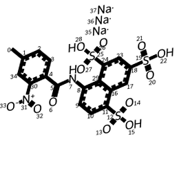 Cc1ccc(C(=O)Nc2ccc(S(=O)(=O)O)c3cc(S(=O)(=O)O)cc(S(=O)(=O)O)c23)c([N+](=O)[O-])c1.[Na].[Na].[Na]